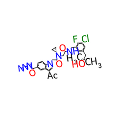 CC(=O)c1cn(CC(=O)N(CC(=O)NCc2cc(CC(C)(C)O)cc(Cl)c2F)C2CC2)c2ccc(C(=O)N=[N+]=[N-])cc12